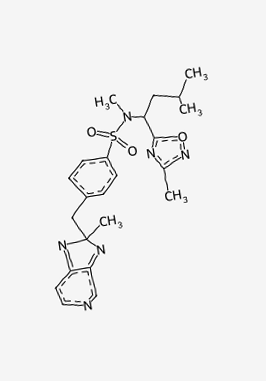 Cc1noc(C(CC(C)C)N(C)S(=O)(=O)c2ccc(CC3(C)N=c4ccncc4=N3)cc2)n1